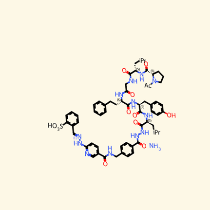 CC(=O)N1CCC[C@H]1C(=O)N[C@@H](CC(C)C)C(=O)NCC(=O)N[C@@H](CCc1ccccc1)C(=O)N[C@@H](Cc1ccc(O)cc1)C(=O)N[C@@H](CC(C)C)C(=O)NNC(=O)c1ccc(CNC(=O)c2ccc(N/N=C/c3ccccc3S(=O)(=O)O)nc2)cc1.N